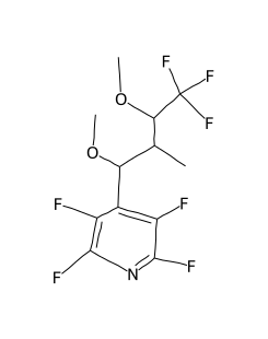 COC(c1c(F)c(F)nc(F)c1F)C(C)C(OC)C(F)(F)F